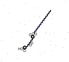 CCCCCCCCC/C=C/C=C/C=C/C=C/C=C/C=C/C(=O)Oc1ccc(/C=C/C(=O)CC(=O)/C=C/c2ccc(O)c(OC)c2)cc1OC